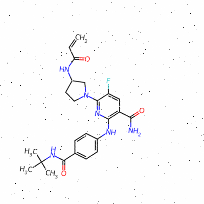 C=CC(=O)NC1CCN(c2nc(Nc3ccc(C(=O)NC(C)(C)C)cc3)c(C(N)=O)cc2F)C1